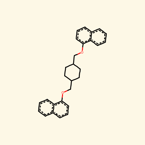 c1ccc2c(OCC3CCC(COc4cccc5ccccc45)CC3)cccc2c1